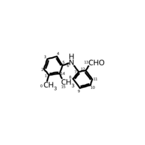 Cc1cccc(Nc2ccccc2C=O)c1C